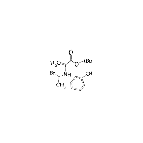 C=C(NC(C)Br)C(=O)OC(C)(C)C.N#Cc1ccccc1